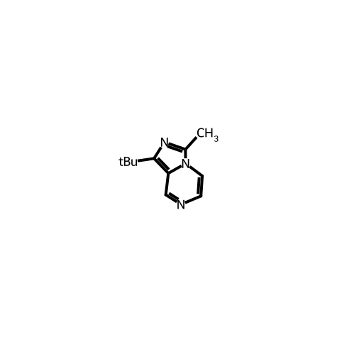 Cc1nc(C(C)(C)C)c2cnccn12